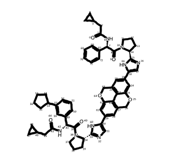 O=C(CC1CC1)N[C@@H](C(=O)N1CCC[C@H]1c1ncc(-c2cc3c4c(c2)OCc2cc(-c5cnc([C@@H]6CCCN6C(=O)[C@H](NC(=O)CC6CC6)c6cccc(C7CCCC7)c6)[nH]5)cc(c2-4)OC3)[nH]1)c1ccccc1